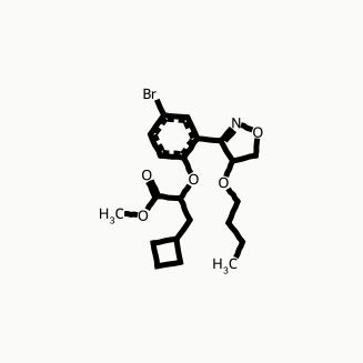 CCCCOC1CON=C1c1cc(Br)ccc1OC(CC1CCC1)C(=O)OC